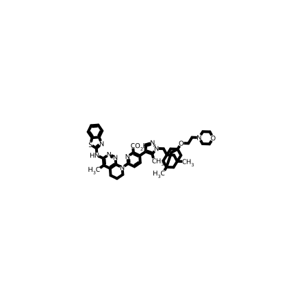 Cc1c(Nc2nc3ccccc3s2)nnc2c1CCCN2c1ccc(-c2cnn(CC34CC5(C)CC(C)(C3)CC(OCCN3CCOCC3)(C5)C4)c2C)c(C(=O)O)n1